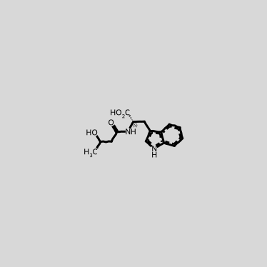 CC(O)CC(=O)N[C@@H](Cc1c[nH]c2ccccc12)C(=O)O